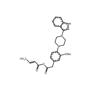 COc1cc(CC(=O)OC(=O)/C=C/C(=O)O)ccc1N1CCN(c2n[nH]c3ccccc23)CC1